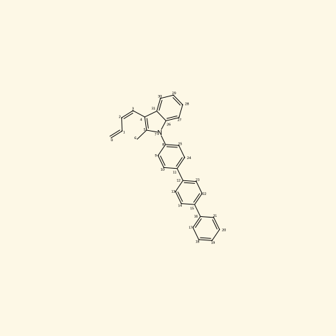 C=C/C=C\c1c(C)n(-c2ccc(-c3ccc(-c4ccccc4)cc3)cc2)c2ccccc12